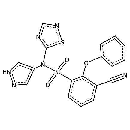 N#Cc1cccc(S(=O)(=O)N(c2cn[nH]c2)c2ncns2)c1Oc1ccccc1